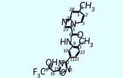 Cc1ccn2c(C(=O)Nc3cc(-c4noc(C[C@@H](O)C(F)(F)F)n4)ccc3C)cnc2c1